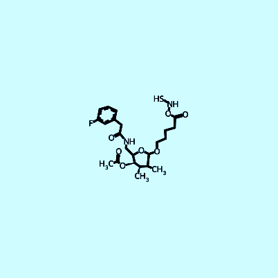 CC(=O)O[C@H]1C(CNC(=O)Cc2cccc(F)c2)OC(OCCCCC(=O)ONS)C(C)[C@H]1C